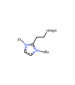 CCCCCCCCCc1n(CC)cc[n+]1CCCC